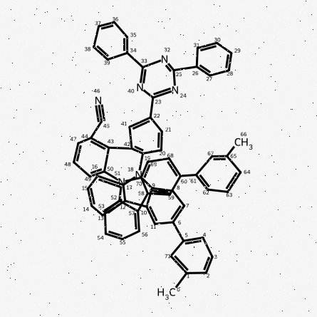 Cc1cccc(-c2ccc3c(c2)c2ccccc2n3-c2ccc(-c3nc(-c4ccccc4)nc(-c4ccccc4)n3)cc2-c2c(C#N)cccc2-n2c3ccccc3c3cc(-c4cccc(C)c4)ccc32)c1